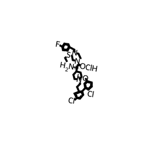 CCSc1cc(F)ccc1CN1CCN(C(=O)[C@H](N)C2CCN(CCc3cc(Cl)ccc3-c3cc(O)ccc3Cl)CC2)CC1.Cl